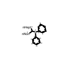 CCCCCCCCCC(CCCCCCC)N(c1ccccc1)c1ccccc1